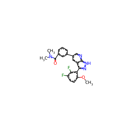 COc1ccc(F)c(F)c1-c1n[nH]c2ncc(-c3cccc(C(=O)N(C)C)c3)cc12